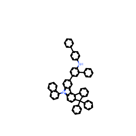 c1ccc(-c2ccc(Nc3ccc(-c4ccc5c(c4)c4c6c(ccc4n5-c4cccc5ccccc45)C(c4ccccc4)(c4ccccc4)c4ccccc4-6)cc3-c3ccccc3)cc2)cc1